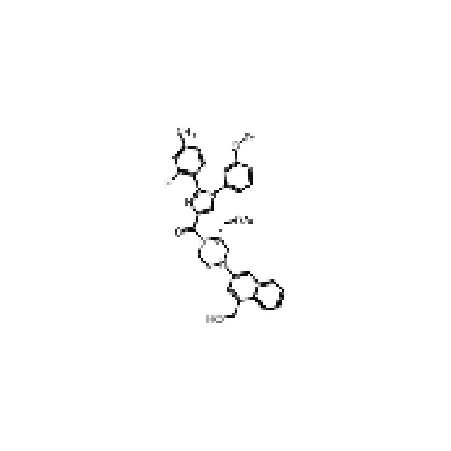 CCOc1cccc(-n2cc(C(=O)N3CCN(c4cc(CO)c5ccccc5c4)C[C@H]3COC(C)=O)nc2-c2ccc(C)cc2F)c1